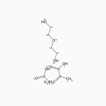 C=C(C)C(=O)O.CC(=O)O.OCCOCCO